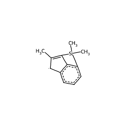 CC1=C2c3c(cccc3[Si]2(C)C)[CH]1